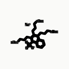 CCCCCCCCCCCCCc1c(CCCCCCCCCCCCC)c(S(=O)(=O)[O-])c2ccccc2c1CCCCCCCCCCCCC.[Na+]